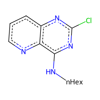 CCCCCCNc1nc(Cl)nc2cccnc12